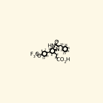 O=C(O)CCc1cc(-c2ccc(OC(F)(F)F)cc2)cc2[nH]c(=O)c(Cc3ccccc3)nc12